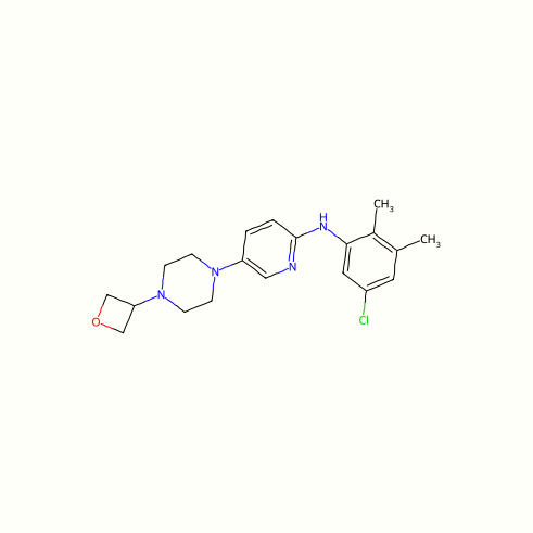 Cc1cc(Cl)cc(Nc2ccc(N3CCN(C4COC4)CC3)cn2)c1C